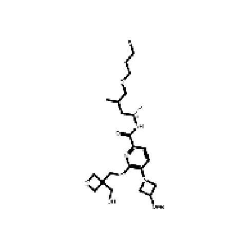 COC1CN(c2ccc(C(=O)N[C@@H](C)CC(C)COCCCF)nc2OCC2(CO)COC2)C1